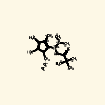 CC1=C(C)C(C)[C]([Hf+2]([NH]C(=O)C(C)(C)C)[SiH](C)C)=C1C.[Cl-].[Cl-]